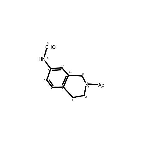 CC(=O)N1CCc2ccc(NC=O)cc2C1